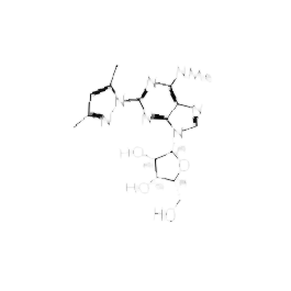 CNc1nc(-n2nc(C)cc2C)nc2c1ncn2[C@@H]1O[C@H](CO)[C@@H](O)[C@H]1O